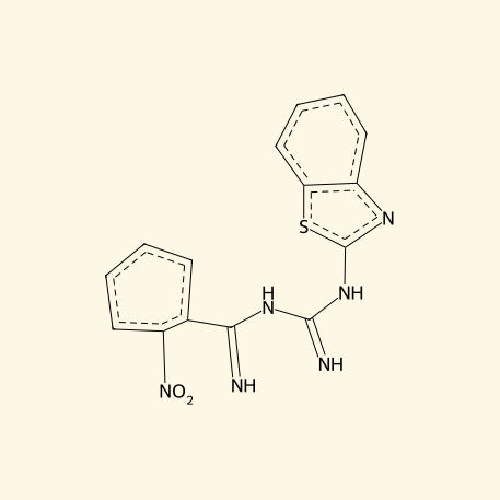 N=C(NC(=N)c1ccccc1[N+](=O)[O-])Nc1nc2ccccc2s1